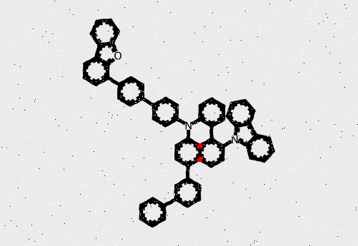 c1ccc(-c2cccc(-c3ccc(N(c4ccc(-c5ccc(-c6cccc7c6oc6ccccc67)cc5)cc4)c4ccccc4-c4ccccc4-n4c5ccccc5c5ccccc54)cc3)c2)cc1